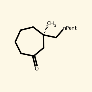 CCCCCC[C@]1(C)CCCCC(=O)C1